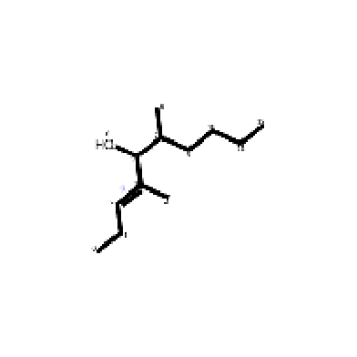 CC/C=C(\C)C(O)C(C)CCCC